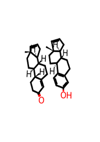 C[C@@]12C=CC[C@H]1[C@@H]1CCC3=CC(=O)CC[C@@H]3[C@H]1CC2.C[C@@]12C=CC[C@H]1[C@@H]1CCc3cc(O)ccc3[C@H]1CC2